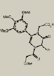 COCC(=O)N1C=C(c2cc(OC)c(OC)c(OC)c2)N(CC(=O)O)C(=O)C1C(C)C